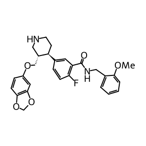 COc1ccccc1CNC(=O)c1cc([C@@H]2CCNC[C@H]2COc2ccc3c(c2)OCO3)ccc1F